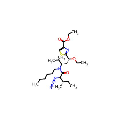 CCCCCCN(C(=O)C(N=[N+]=[N-])[C@@H](C)CC)[C@H](C[C@@H](OCC)c1nc(C(=O)OCC)cs1)C(C)C